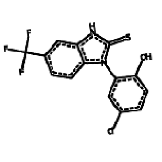 Oc1ccc(Cl)cc1-n1c(=S)[nH]c2cc(C(F)(F)F)ccc21